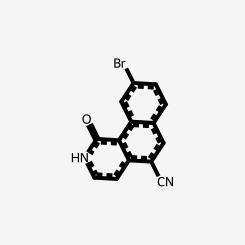 N#Cc1cc2ccc(Br)cc2c2c(=O)[nH]ccc12